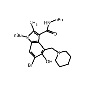 CCCCNC(=O)c1c(C)n(CCCC)c2cc(Br)c(O)c(CN3CCCCC3)c12